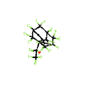 FC(F)(F)C(F)(F)C12C(F)(F)C3(F)C(F)(F)C(F)(C(F)(F)C(F)(C3(F)F)C1(F)F)C2(F)F